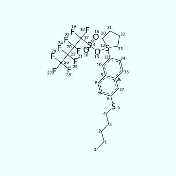 CCCCCSc1ccc2cc(S3(OS(=O)(=O)C(F)(F)C(F)(F)C(F)(F)C(F)(F)F)CCCC3)ccc2c1